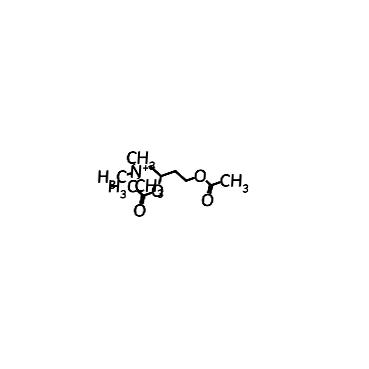 CC(=O)OCCC(C[N+](C)(C)C)OC(C)=O